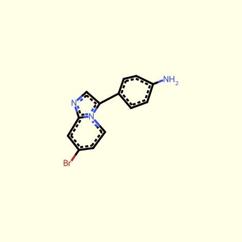 Nc1ccc(-c2cnc3cc(Br)ccn23)cc1